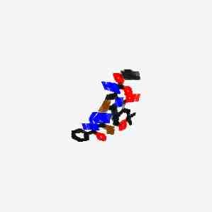 CC(C)(C)OC(=O)Nc1csc([C@]2(NC(=S)NC(=O)c3ccccc3)COC(C)(C)C[C@H]2CO)n1